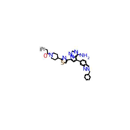 CC(C)CC(=O)N1CCC(c2nc(-c3cc(-c4ccc5cn(Cc6ccccc6)nc5c4)c4c(N)ncnn34)cs2)CC1